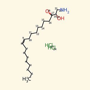 CCCCCCCC/C=C\CCCCCCCC(=O)C(O)CN.Cl.Cl